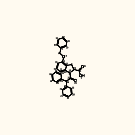 O=C(O)C1Cc2c(OCc3ccccc3)cccc2N1C(=O)C(c1ccccc1)c1ccccc1